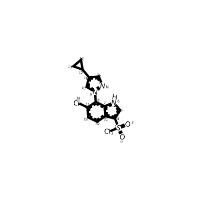 O=S(=O)(Cl)c1c[nH]c2c(-n3cc(C4CC4)cn3)c(Cl)ccc12